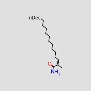 CCCCCCCCCCCCCCCCCCCCC=C(C)C(N)=O